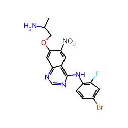 CC(N)COc1cc2ncnc(Nc3ccc(Br)cc3F)c2cc1[N+](=O)[O-]